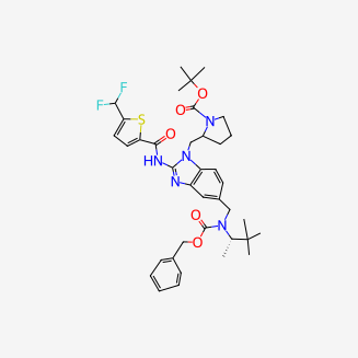 C[C@H](N(Cc1ccc2c(c1)nc(NC(=O)c1ccc(C(F)F)s1)n2CC1CCCN1C(=O)OC(C)(C)C)C(=O)OCc1ccccc1)C(C)(C)C